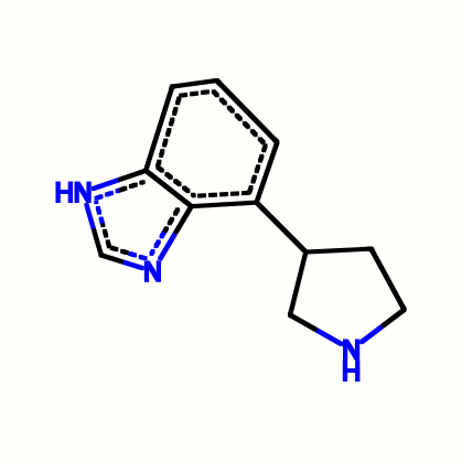 c1cc(C2CCNC2)c2nc[nH]c2c1